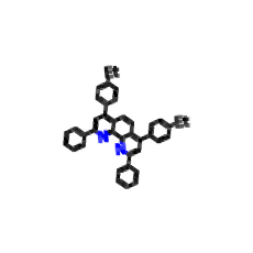 CCc1ccc(-c2cc(-c3ccccc3)nc3c2ccc2c(-c4ccc(CC)cc4)cc(-c4ccccc4)nc23)cc1